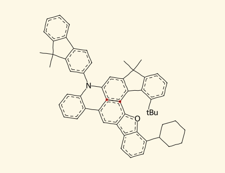 CC(C)(C)c1cccc2c1-c1ccc(N(c3ccc4c(c3)C(C)(C)c3ccccc3-4)c3ccccc3-c3ccc4oc5c(C6CCCCC6)cccc5c4c3)cc1C2(C)C